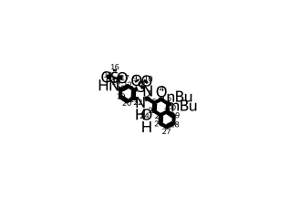 CCCCC1(CCCC)C(=O)C(C2=NS(=O)(=O)c3cc(NS(C)(=O)=O)ccc3N2)=C(O)c2ccccc21